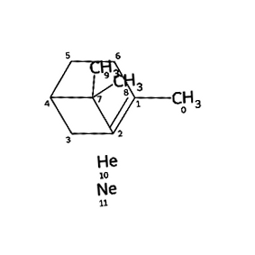 CC1=C2CC(CC1)C2(C)C.[He].[Ne]